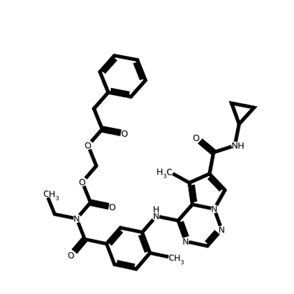 CCN(C(=O)OCOC(=O)Cc1ccccc1)C(=O)c1ccc(C)c(Nc2ncnn3cc(C(=O)NC4CC4)c(C)c23)c1